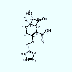 O=C(O)C1=C(CSc2cnns2)CS[C@H]2[C@H](O)C(=O)N12